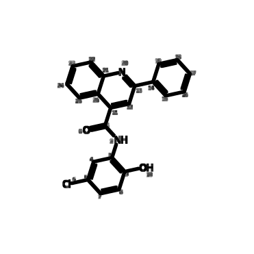 O=C(Nc1cc(Cl)ccc1O)c1cc(-c2ccccc2)nc2ccccc12